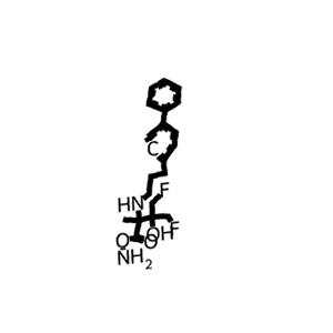 CC(NCCCc1ccc(-c2ccccc2)cc1)(C(=O)ON)C(O)(CF)CF